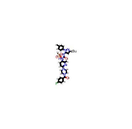 Cc1ccc(-n2nc(C(C)(C)C)cc2N(OS(C)(=O)=O)C(=O)Nc2ccc(N3CCN(C(=O)c4ccc(F)cc4)CC3)nc2C)cc1